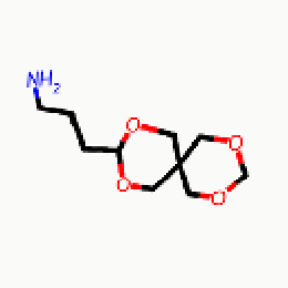 NCCCC1OCC2(COCOC2)CO1